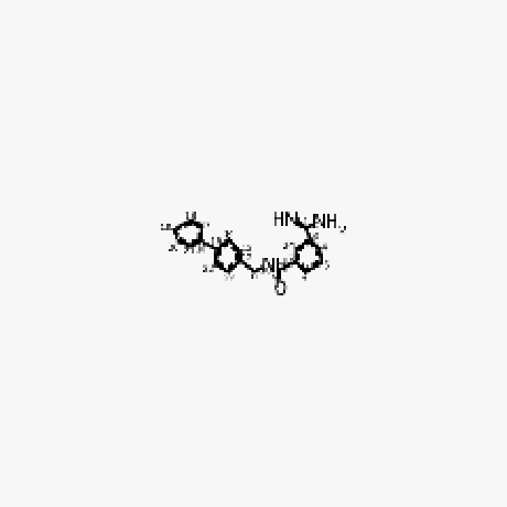 N=C(N)c1cccc(C(=O)NCc2ccc(-c3ccccc3)cc2)c1